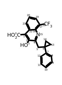 O=C(O)c1c(O)c(CC2(c3ccccc3)CC2)nc2c(C(F)(F)F)cccc12